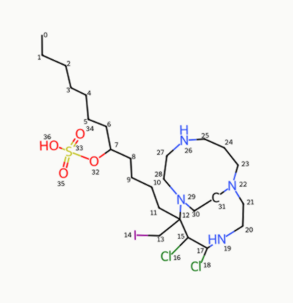 CCCCCCCC(CCCCC1(CI)C(Cl)C(Cl)NCCN2CCCNCCN1CC2)OS(=O)(=O)O